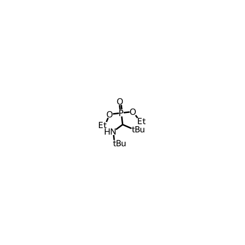 CCOP(=O)(OCC)C(NC(C)(C)C)C(C)(C)C